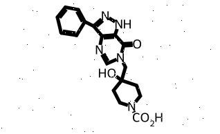 O=C(O)N1CCC(O)(Cn2cnc3c(-c4ccccc4)n[nH]c3c2=O)CC1